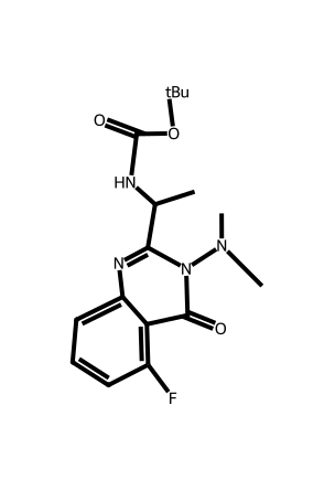 CC(NC(=O)OC(C)(C)C)c1nc2cccc(F)c2c(=O)n1N(C)C